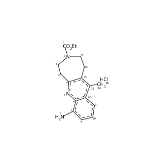 CCOC(=O)N1CCc2nc3c(N)cccc3c(C)c2CC1.Cl